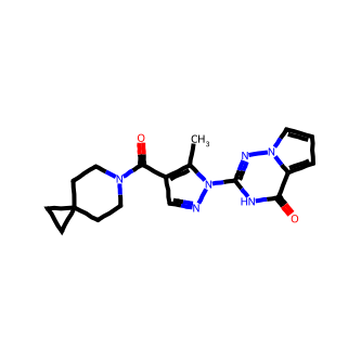 Cc1c(C(=O)N2CCC3(CC2)CC3)cnn1-c1nn2cccc2c(=O)[nH]1